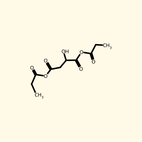 CCC(=O)OC(=O)CC(O)C(=O)OC(=O)CC